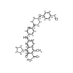 CC(=O)c1c(C)c2cnc(Nc3ccc(N4CCC(Oc5ccc(CCl)cc5)CC4)nc3)nc2n(C2CCCC2)c1=O